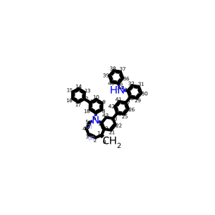 C=C1/C=C\C=C/N(c2cccc(-c3ccccc3)c2)C2=C1C=CC(c1ccc(-c3ccccc3Nc3ccccc3)cc1)C2